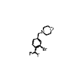 FC(F)c1ccc(CN2CCOCC2)cc1Br